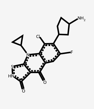 NC1CCC(c2c(F)cc3c(=O)c4c(=O)[nH]sc4n(C4CC4)c3c2Cl)C1